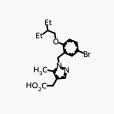 CCC(CC)COc1ccc(Br)cc1Cn1ncc(CC(=O)O)c1C